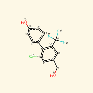 OCc1cc(Cl)c(-c2ccc(O)cc2)c(C(F)(F)F)c1